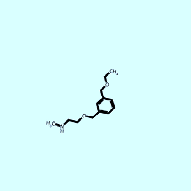 CCOCc1cccc(COCCNC)c1